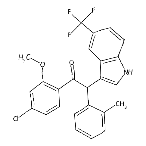 COc1cc(Cl)ccc1C(=O)C(c1ccccc1C)c1c[nH]c2ccc(C(F)(F)F)cc12